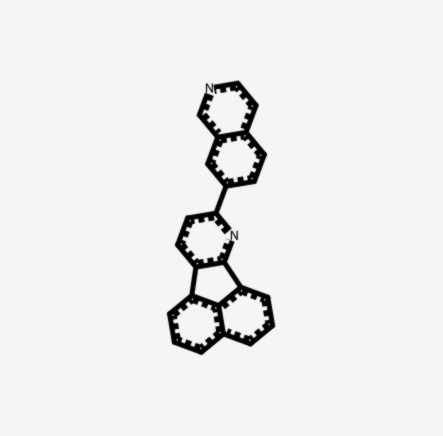 c1cc2c3c(cccc3c1)-c1nc(-c3ccc4ccncc4c3)ccc1-2